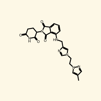 Cc1cnn(CCn2cnc(CNc3cccc4c3C(=O)N(C3CCC(=O)NC3=O)C4=O)c2)c1